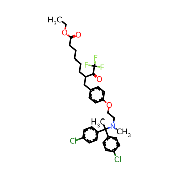 CCOC(=O)CCCCCC(Cc1ccc(OCCN(C)C(C)(c2ccc(Cl)cc2)c2ccc(Cl)cc2)cc1)C(=O)C(F)(F)F